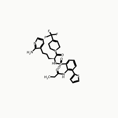 CCC(=O)Nc1c(-c2cccs2)cccc1S(=O)(=O)N[C@@H](CCCc1cccnc1N)C(=O)N1CC=C(C(F)(F)F)CC1